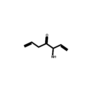 C=CCC(=O)C([NH])C=C